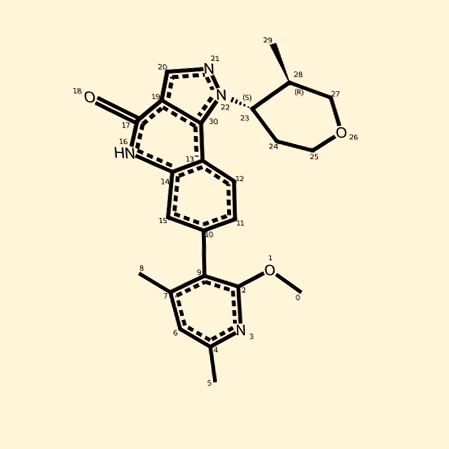 COc1nc(C)cc(C)c1-c1ccc2c(c1)[nH]c(=O)c1cnn([C@H]3CCOC[C@@H]3C)c12